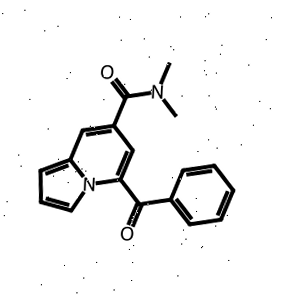 CN(C)C(=O)c1cc(C(=O)c2ccccc2)n2cccc2c1